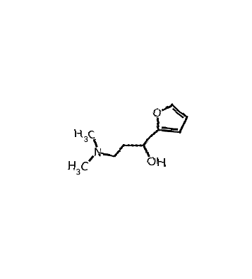 CN(C)CCC(O)c1ccco1